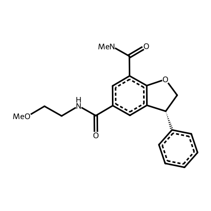 CNC(=O)c1cc(C(=O)NCCOC)cc2c1OC[C@@H]2c1ccccc1